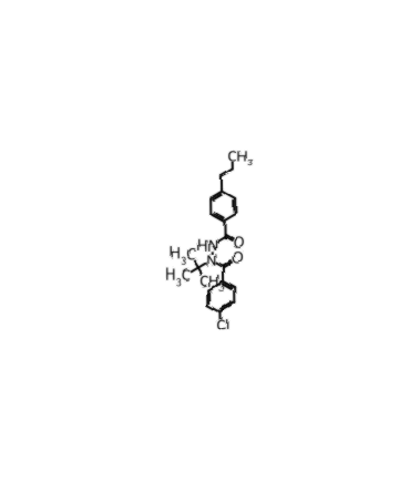 CCCc1ccc(C(=O)NN(C(=O)c2ccc(Cl)cc2)C(C)(C)C)cc1